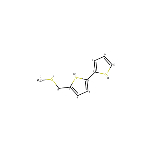 CC(=O)SCc1ccc(-c2cccs2)s1